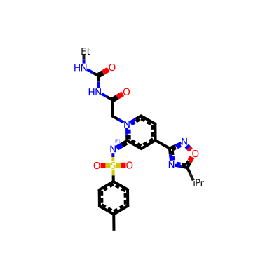 CCNC(=O)NC(=O)Cn1ccc(-c2noc(C(C)C)n2)c/c1=N\S(=O)(=O)c1ccc(C)cc1